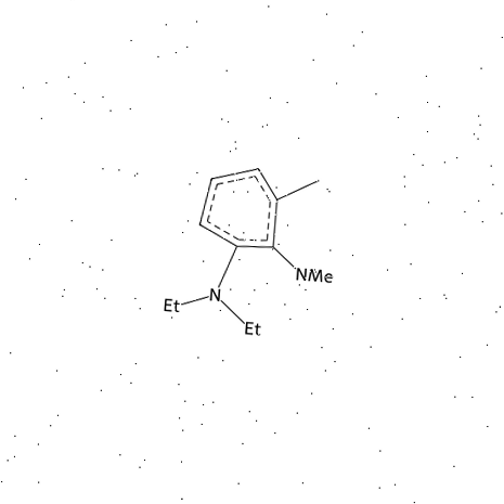 CCN(CC)c1cccc(C)c1NC